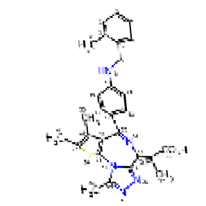 Cc1ccccc1CNc1ccc(C2=N[C@@H](C(C)C(=O)O)c3nnc(C)n3-c3sc(C)c(C)c32)cc1